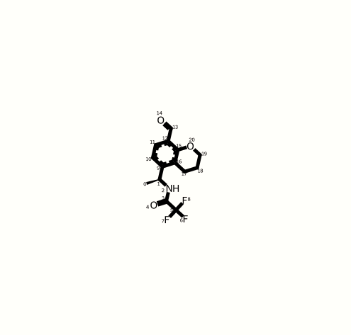 C[C@H](NC(=O)C(F)(F)F)c1ccc(C=O)c2c1CCCO2